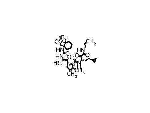 C=CCNC(=O)C(=O)[C@H](CCC1CC1)NC(=O)[C@@H]1[C@@H](C)[C@@H](C)CN1C(=O)[C@@H](NC(=O)NC1(CS(=O)(=O)C(C)(C)C)CCCCC1)C(C)(C)C